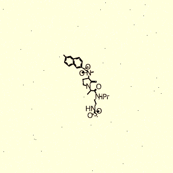 C=C1C(N(C)S(=O)(=O)c2ccc3cc(C)ccc3c2)CCN1C(C)C(=O)N(CCNS(C)(=O)=O)C(C)C